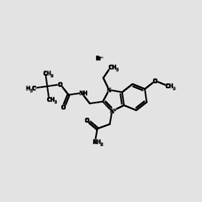 CCn1c(CNC(=O)OC(C)(C)C)[n+](CC(N)=O)c2ccc(OC)cc21.[Br-]